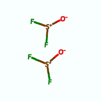 [O-][S+](F)F.[O-][S+](F)F